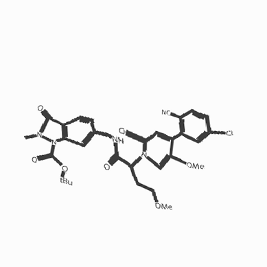 COCCC(C(=O)Nc1ccc2c(=O)n(C)n(C(=O)OC(C)(C)C)c2c1)n1cc(OC)c(-c2cc(Cl)ccc2C#N)cc1=O